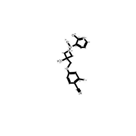 CC1(COc2ccc(C#N)c(F)c2)CN([S+]([O-])c2cccnc2Cl)C1